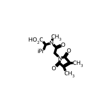 CC1=C(C)C(=O)N(CC(=O)N(C)C(C(=O)O)C(C)C)C1=O